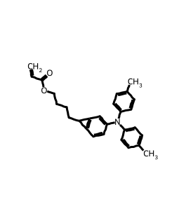 C=CC(=O)OCCCCC1c2ccc(N(c3ccc(C)cc3)c3ccc(C)cc3)cc21